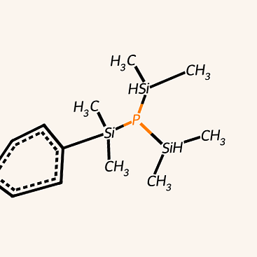 C[SiH](C)P([SiH](C)C)[Si](C)(C)c1ccccc1